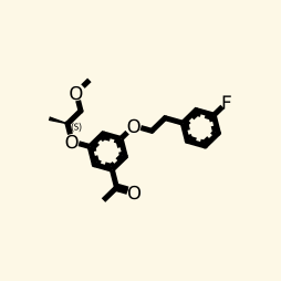 COC[C@H](C)Oc1cc(OCCc2cccc(F)c2)cc(C(C)=O)c1